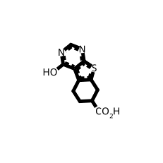 O=C(O)C1CCc2c(sc3ncnc(O)c23)C1